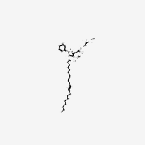 CCCCCCCCC=CCCCCCCCC(=O)Oc1c2ncnc(SCC(=O)OCC)c2nn1-c1ccccc1